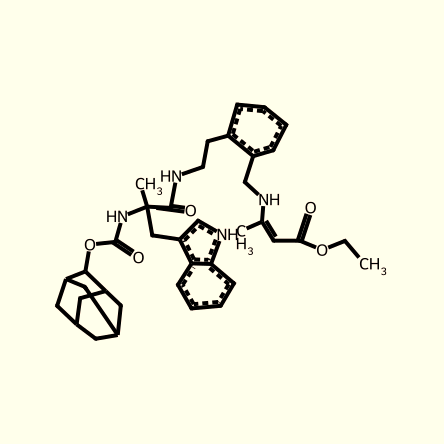 CCOC(=O)/C=C(/C)NCc1ccccc1CCNC(=O)C(C)(Cc1c[nH]c2ccccc12)NC(=O)OC1C2CC3CC(C2)CC1C3